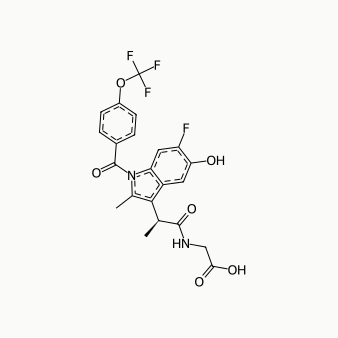 Cc1c([C@H](C)C(=O)NCC(=O)O)c2cc(O)c(F)cc2n1C(=O)c1ccc(OC(F)(F)F)cc1